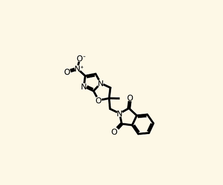 CC1(CN2C(=O)c3ccccc3C2=O)Cn2cc([N+](=O)[O-])nc2O1